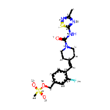 Cc1nsc(NC(=O)N2CCC(=Cc3ccc(COS(C)(=O)=O)cc3F)CC2)n1